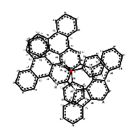 c1ccc(-c2nc3c4ccccc4c4ccccc4c3nc2-n2c3ccccc3c3ccc4c5ccccc5n(-c5nc6c7ccccc7c7ccccc7c6nc5-c5ccccc5)c4c32)cc1